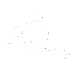 C[C@H]1C=CC[C@@H](NC(=O)OC(C)(C)C)c2cc(ccn2)-c2c(cnn2C(F)F)NC1=O